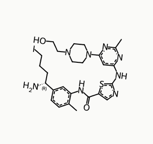 Cc1nc(Nc2ncc(C(=O)Nc3cc([C@H](N)CCCI)ccc3C)s2)cc(N2CCN(CCO)CC2)n1